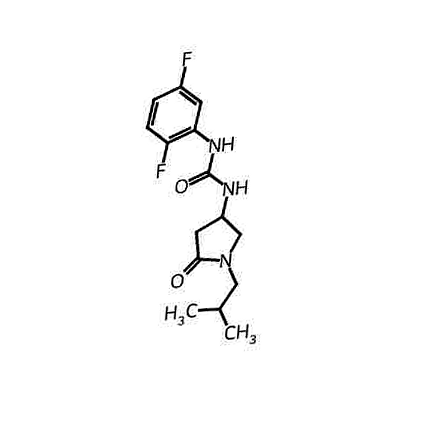 CC(C)CN1CC(NC(=O)Nc2cc(F)ccc2F)CC1=O